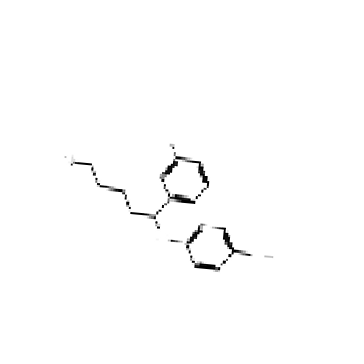 Cc1ccc(OC(CCCCN)c2cccc(F)c2)cc1